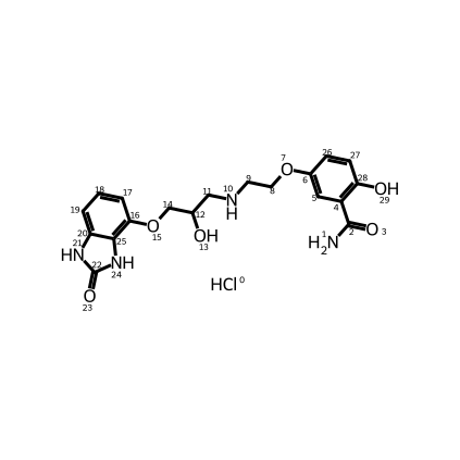 Cl.NC(=O)c1cc(OCCNCC(O)COc2cccc3[nH]c(=O)[nH]c23)ccc1O